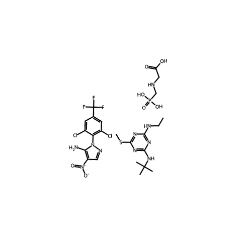 CCNc1nc(NC(C)(C)C)nc(SC)n1.Nc1c([N+](=O)[O-])cnn1-c1c(Cl)cc(C(F)(F)F)cc1Cl.O=C(O)CNCP(=O)(O)O